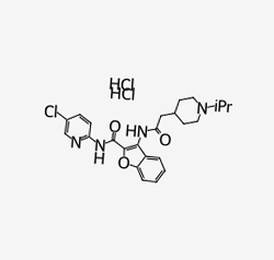 CC(C)N1CCC(CC(=O)Nc2c(C(=O)Nc3ccc(Cl)cn3)oc3ccccc23)CC1.Cl.Cl